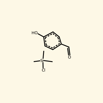 C[Si](C)(C)Cl.O=Cc1ccc(O)cc1